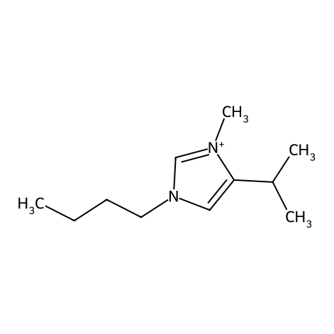 CCCCn1cc(C(C)C)[n+](C)c1